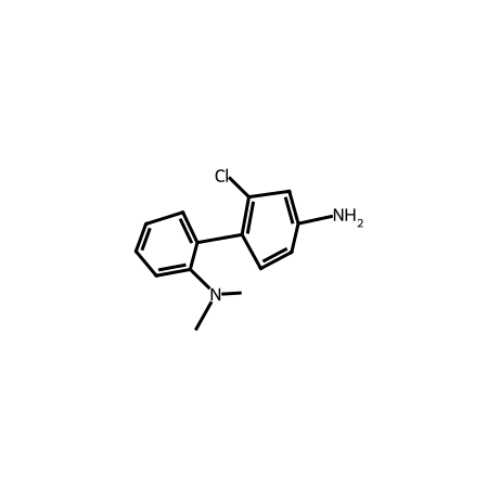 CN(C)c1ccccc1-c1ccc(N)cc1Cl